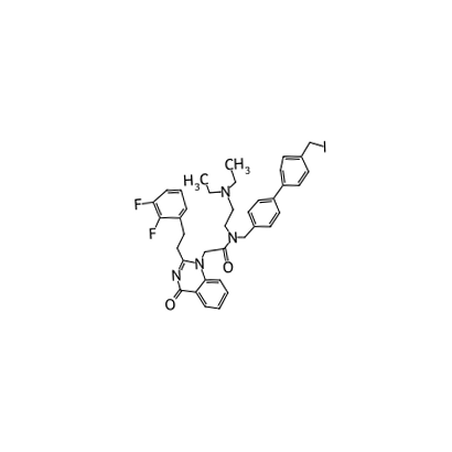 CCN(CC)CCN(Cc1ccc(-c2ccc(CI)cc2)cc1)C(=O)Cn1c(CCc2cccc(F)c2F)nc(=O)c2ccccc21